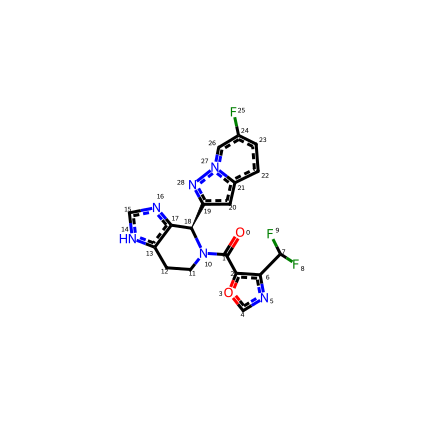 O=C(c1ocnc1C(F)F)N1CCc2[nH]cnc2[C@H]1c1cc2ccc(F)cn2n1